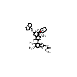 Cc1cc2sc(NC(=O)OC(C)(C)C)nc2c(-c2ncc3c(N4CC5CCC(C4)N5C(=O)OC(C)(C)C)nc(OCC45CCCN4CCC5)nc3c2F)c1C